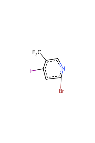 FC(F)(F)c1cnc(Br)cc1I